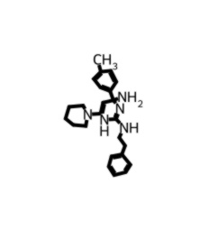 Cc1ccc(C2(N)C=C(N3CCCCC3)NC(NCCc3ccccc3)=N2)cc1